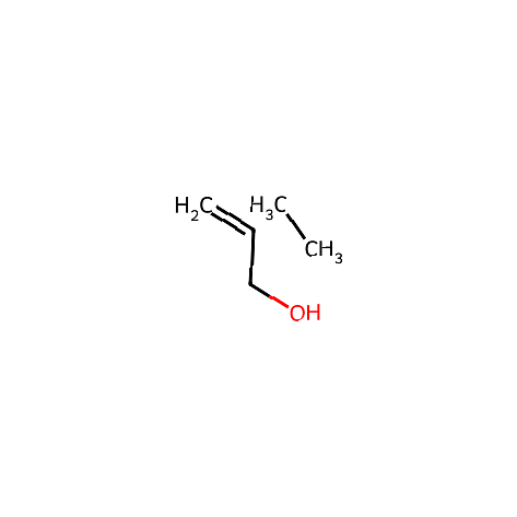 C=CCO.CC